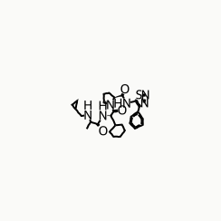 CC(NCC1CC1)C(=O)N[C@H](C(=O)N1CCC[C@H]1C(=O)Nc1snnc1-c1ccccc1)C1CCCCC1